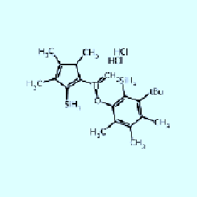 Cl.Cl.[CH2]=[Ti]([O]c1c(C)c(C)c(C)c(C(C)(C)C)c1[SiH3])[C]1=C([SiH3])C(C)=C(C)C1C